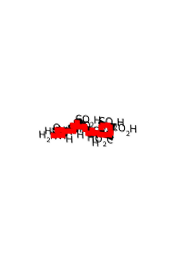 Nc1nc2ncc(CNc3ccc(C(=O)NC(CCC(=O)O)C(=O)Nc4ccc(NC(=O)CN5CCN(CC(=O)O)CCN(CC(=O)O)CCN(CC(=O)O)CC5)cc4)cc3)nc2c(=O)[nH]1